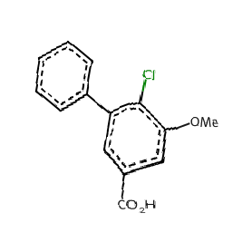 COc1cc(C(=O)O)cc(-c2ccccc2)c1Cl